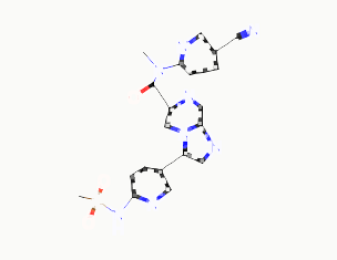 CN(C(=O)c1cn2c(-c3ccc(NS(C)(=O)=O)nc3)cnc2cn1)c1ccc(C#N)cn1